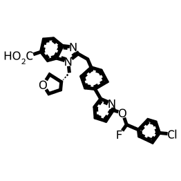 O=C(O)c1ccc2nc(Cc3ccc(-c4cccc(OC(F)c5ccc(Cl)cc5)n4)cc3)n(C[C@@H]3CCOC3)c2c1